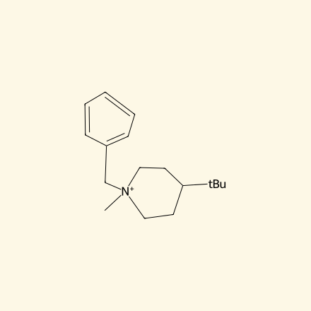 CC(C)(C)C1CC[N+](C)(Cc2ccccc2)CC1